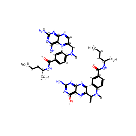 CC(c1cnc2nc(N)nc(O)c2n1)N(C)c1ccc(C(=O)NC(CCC(=O)O)C(=O)O)cc1.CN(Cc1cnc2nc(N)nc(N)c2n1)c1ccc(C(=O)N[C@@H](CCC(=O)O)C(=O)O)cc1